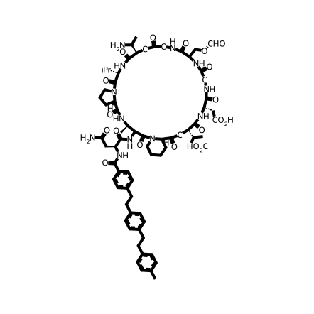 Cc1ccc(CCc2ccc(CCc3ccc(C(=O)N[C@@H](CC(N)=O)C(=O)NC4C(=O)N5CCCC[C@@H]5C(=O)C[C@@H](C(C)C(=O)O)C(=O)N[C@@H](CC(=O)O)C(=O)NCC(=O)NC(COC=O)C(=O)NCC(=O)C[C@H](C(C)N)C(=O)N[C@@H](C(C)C)C(=O)N5CCC[C@H]5C(=O)N[C@@H]4C)cc3)cc2)cc1